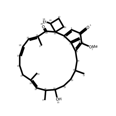 C=C1C2=CC(=O)C(OC)=C1CC(C)CCC(O)C(C)/C=C(\C)CC/C=C\C=C(/C)C(=O)C21CCC1CC